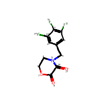 O=C1OCCN(Cc2cc(F)c(F)c(F)c2)C1=O